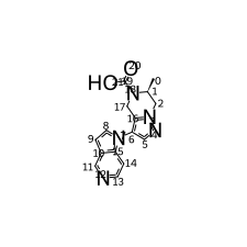 C[C@H]1Cn2ncc(-n3ccc4cnccc43)c2CN1C(=O)O